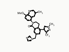 COc1ccc(N2CCc3c(cc(Cn4ccnc4)cc3-c3cn(C)nc3C(F)(F)F)C2=O)c2cc(C)cnc12